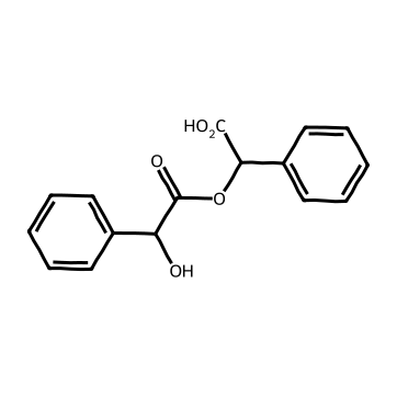 O=C(OC(C(=O)O)c1ccccc1)C(O)c1ccccc1